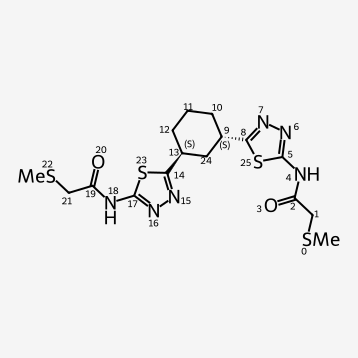 CSCC(=O)Nc1nnc([C@H]2CCC[C@H](c3nnc(NC(=O)CSC)s3)C2)s1